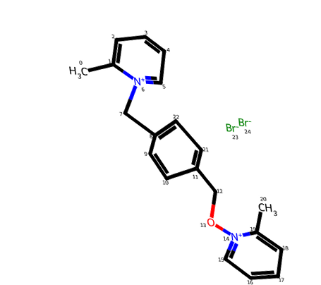 Cc1cccc[n+]1Cc1ccc(CO[n+]2ccccc2C)cc1.[Br-].[Br-]